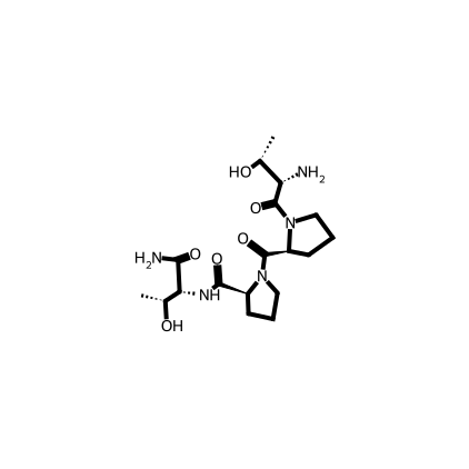 C[C@@H](O)[C@H](N)C(=O)N1CCC[C@H]1C(=O)N1CCC[C@H]1C(=O)N[C@@H](C(N)=O)[C@@H](C)O